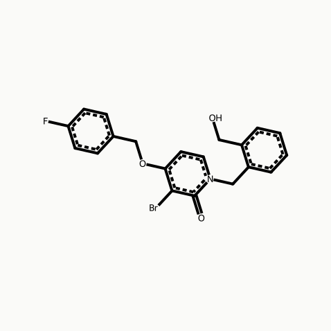 O=c1c(Br)c(OCc2ccc(F)cc2)ccn1Cc1ccccc1CO